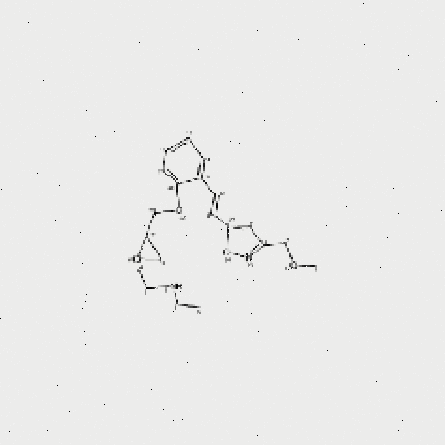 CCNCC.COCc1cc(C=Cc2ccccc2OCC2CO2)on1